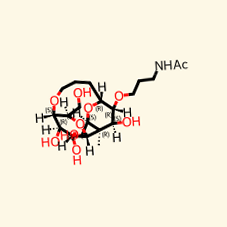 CC(=O)NCCCO[C@@H]1[C@@H](O)[C@]2(C)[C@@H](CO)O[C@@H]1CCCO[C@H]1[C@H](O)[C@@H](O)[C@@H]2O[C@@H]1CO